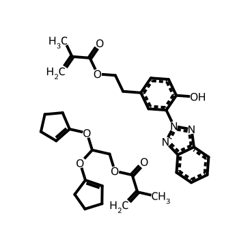 C=C(C)C(=O)OCC(OC1=CCCC1)OC1=CCCC1.C=C(C)C(=O)OCCc1ccc(O)c(-n2nc3ccccc3n2)c1